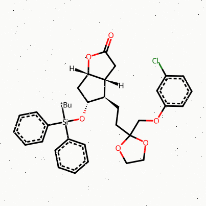 CC(C)(C)[Si](O[C@@H]1C[C@@H]2OC(=O)C[C@@H]2[C@H]1CCC1(COc2cccc(Cl)c2)OCCO1)(c1ccccc1)c1ccccc1